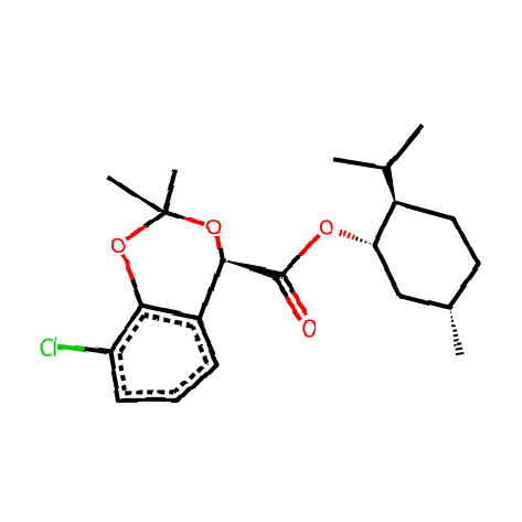 CC(C)[C@H]1CC[C@H](C)C[C@@H]1OC(=O)[C@@H]1OC(C)(C)Oc2c(Cl)cccc21